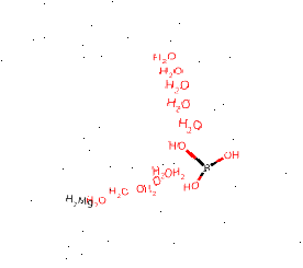 O.O.O.O.O.O.O.O.O.O.OB(O)O.[MgH2]